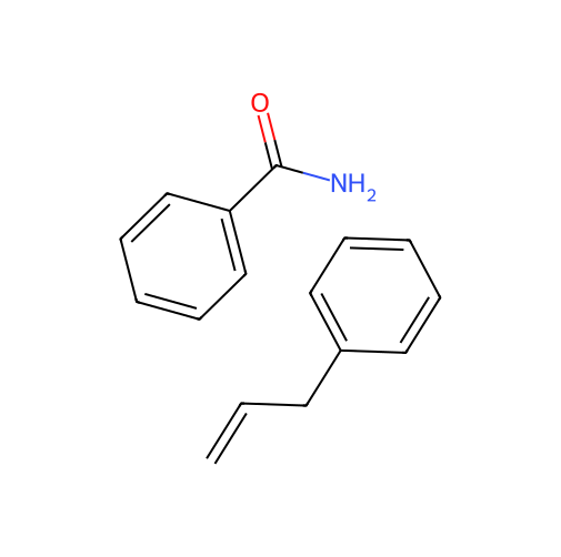 C=CCc1ccccc1.NC(=O)c1ccccc1